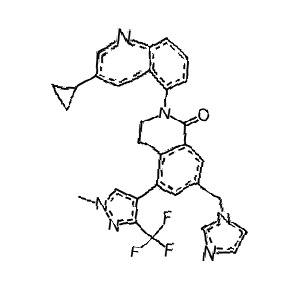 Cn1cc(-c2cc(Cn3ccnc3)cc3c2CCN(c2cccc4ncc(C5CC5)cc24)C3=O)c(C(F)(F)F)n1